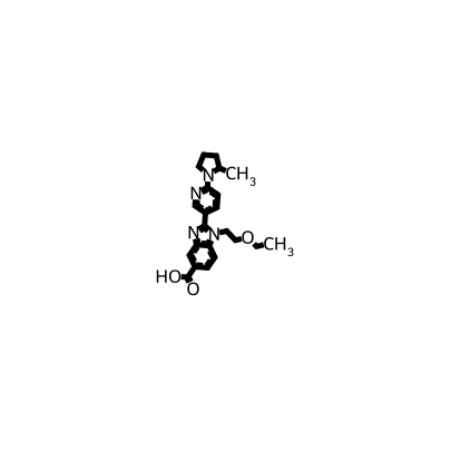 CCOCCn1c(-c2ccc(N3CCCC3C)nc2)nc2cc(C(=O)O)ccc21